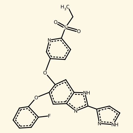 CCS(=O)(=O)c1ccc(Oc2cc3[nH]c(-c4cc[nH]n4)nc3cc2Oc2ccccc2F)cn1